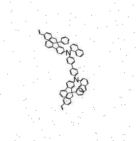 C=Cc1ccc(CC2(c3ccccc3)c3ccccc3-c3ccc(N(c4ccc(-c5ccc(N(c6ccc7c(c6)C(Cc6ccc(C=C)cc6)(c6ccccc6)c6ccccc6-7)c6cccc7ccccc67)cc5)cc4)c4cccc5ccccc45)cc32)cc1